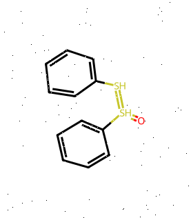 O=[SH](=[SH]/c1ccccc1)/c1ccccc1